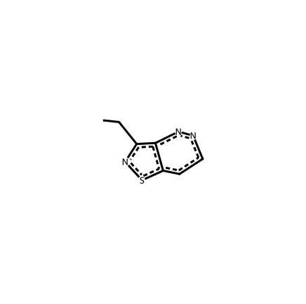 CCc1nsc2ccnnc12